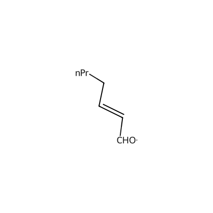 CCCCC=C[C]=O